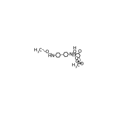 CCCOCCNc1ccc(-c2ccc(NCc3oc(CS(C)(=O)=O)cc(=O)c3O)cc2)cc1